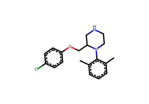 Cc1cccc(C)c1N1CCNCC1COc1ccc(Cl)cc1